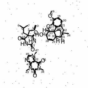 C=CCC1(CC(C)C)C(=O)NC(=O)NC1=O.COc1ccc2c3c1O[C@H]1[C@@H](O)C=C[C@H]4[C@@H](C2)N(C)CC[C@@]341.Cn1c(=O)c2c(ncn2C)n(C)c1=O